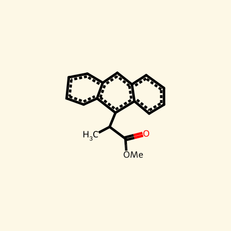 COC(=O)C(C)c1c2ccccc2cc2ccccc12